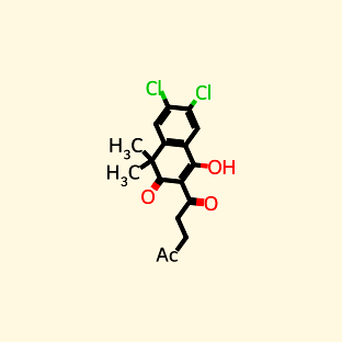 CC(=O)CCC(=O)C1=C(O)c2cc(Cl)c(Cl)cc2C(C)(C)C1=O